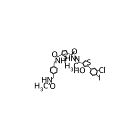 CC(=O)NCc1ccc(CNC(=O)c2ccc(C(=O)N/N=C(\C)c3csc(-c4ccc(I)c(Cl)c4)c3O)s2)cc1